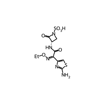 CCON=C(C(=O)N[C@H]1CN(S(=O)(=O)O)C1=O)c1csc(N)n1